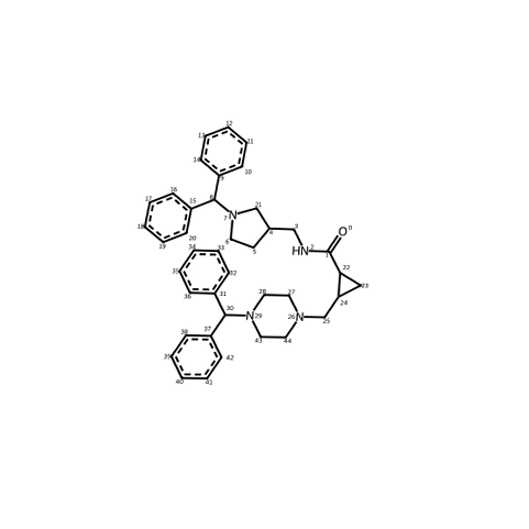 O=C(NCC1CCN(C(c2ccccc2)c2ccccc2)C1)C1CC1CN1CCN(C(c2ccccc2)c2ccccc2)CC1